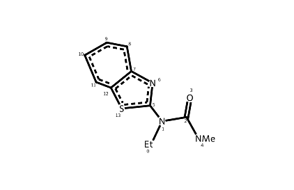 CCN(C(=O)NC)c1nc2ccccc2s1